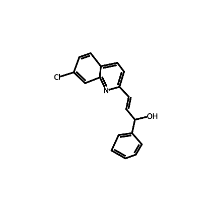 OC(C=Cc1ccc2ccc(Cl)cc2n1)c1ccccc1